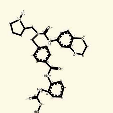 CCN1CCCC1CN(Cc1ccc(C(=O)Nc2ccccc2NC(=O)OC(C)(C)C)cc1)C(=O)Nc1ccc2c(c1)OCCO2